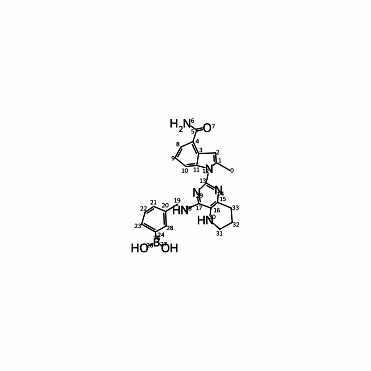 Cc1cc2c(C(N)=O)cccc2n1-c1nc2c(c(NCc3cccc(B(O)O)c3)n1)NCCC2